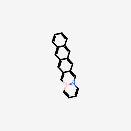 C1=CB2C=c3cc4cc5ccccc5cc4cc3=CN2C=C1